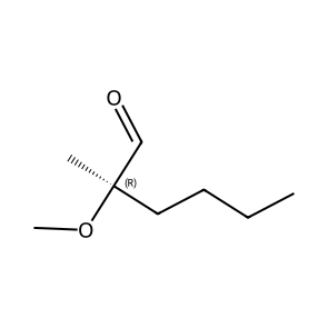 CCCC[C@](C)(C=O)OC